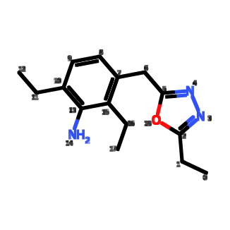 CCc1nnc(Cc2ccc(CC)c(N)c2CC)o1